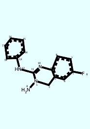 NN1Cc2cc(F)ccc2N=C1Nc1ccccc1